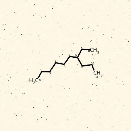 [CH2]CCCCCC(CC)CCC